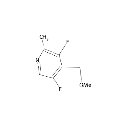 COCc1c(F)cnc(C)c1F